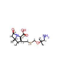 C[C@@H]1C(CCSCOC(C)(C)CN)=C(C(=O)O)N2C(=O)C[C@@H]12